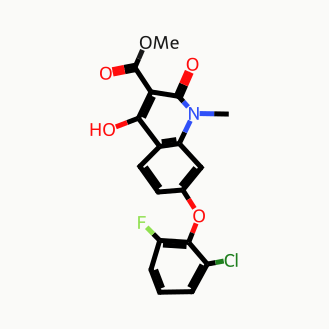 COC(=O)c1c(O)c2ccc(Oc3c(F)cccc3Cl)cc2n(C)c1=O